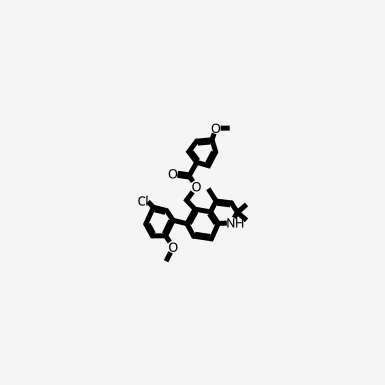 COc1ccc(C(=O)OCc2c(-c3cc(Cl)ccc3OC)ccc3c2C(C)=CC(C)(C)N3)cc1